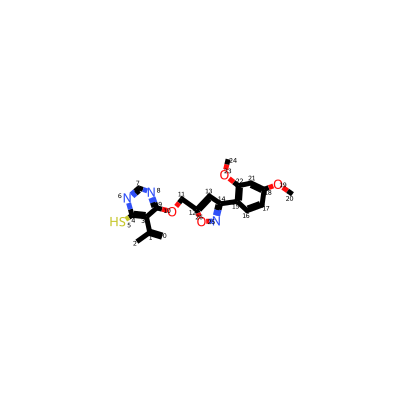 C=C(C)c1c(S)ncnc1OCc1cc(-c2ccc(OC)cc2OC)no1